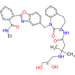 CCNC(=O)c1ccccc1-c1nc2cc(CN3C(=O)[C@H](NC(=O)CC(C)(C)NC[C@H](O)CO)CCc4ccccc43)ccc2o1